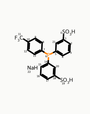 O=S(=O)(O)c1cccc(P(c2ccc(C(F)(F)F)cc2)c2cccc(S(=O)(=O)O)c2)c1.[NaH]